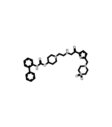 O=C(Nc1ccccc1-c1ccccc1)OC1CCN(CCNCC(=O)c2ccc(CN3CCS(=O)(=O)CC3)s2)CC1